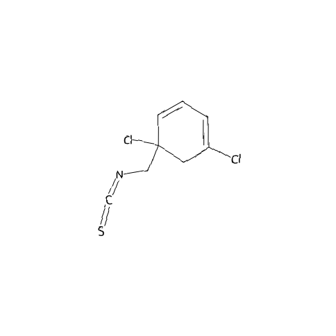 S=C=NCC1(Cl)C=CC=C(Cl)C1